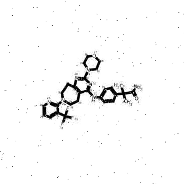 CC(C)(C(N)=O)c1ccc(Nc2nc(N3CCOCC3)nc3c2CCN(c2ncccc2C(F)(F)F)CC3)cc1